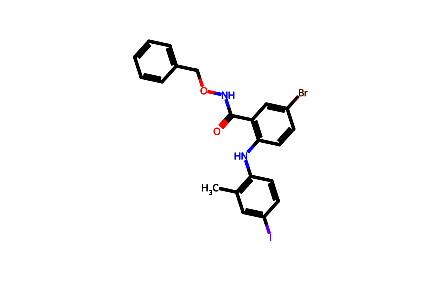 Cc1cc(I)ccc1Nc1ccc(Br)cc1C(=O)NOCc1ccccc1